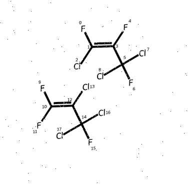 FC(Cl)=C(F)C(F)(Cl)Cl.FC(F)=C(Cl)C(F)(Cl)Cl